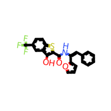 O=C(NC(=Cc1ccccc1)c1ccco1)c1sc2ccc(C(F)(F)F)cc2c1O